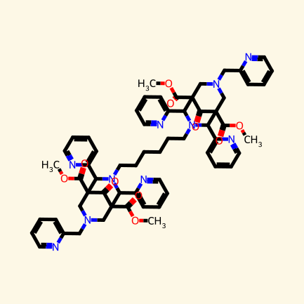 COC(=O)C12CN(Cc3ccccn3)CC(C(=O)OC)(C1=O)C(c1ccccn1)N(CCCCCCN1C(c3ccccn3)C3(C(=O)OC)CN(Cc4ccccn4)CC(C(=O)OC)(C3=O)C1c1ccccn1)C2c1ccccn1